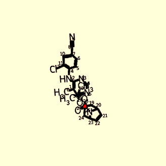 Cc1c(Nc2ccc(C#N)cc2Cl)ncnc1OC1CC2C=CC(C1)N2C(=O)OC(C)C